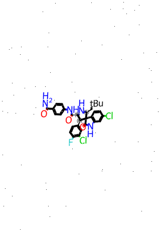 CC(C)(C)C[C@@H]1N[C@@H](C(=O)Nc2ccc(C(N)=O)cc2)[C@H](c2ccc(F)c(Cl)c2)C12C(=O)Nc1cc(Cl)ccc12